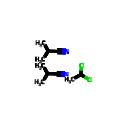 CC(C)C#N.CC(C)C#N.CC(Cl)Cl